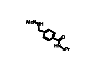 CCCNC(=O)c1ccc(CNNC)cc1